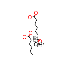 CCCCCC(=O)[O-].CCCCCC(=O)[O-].CCOCC.C[CH2][Ce+2]